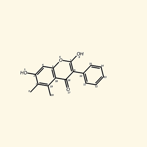 Cc1c(O)cc2oc(O)c(-c3ccccc3)c(=O)c2c1C